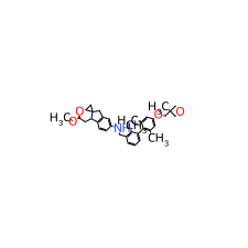 COC(=O)CC1c2ccc(NCc3cccc(-c4c(C)cc(OCC5(C)COC5)cc4C)c3C)cc2CC12CC2